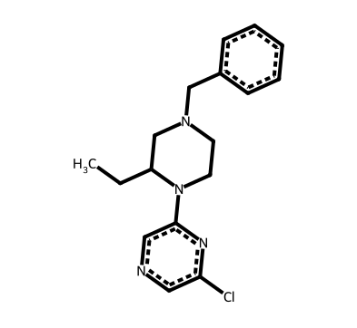 CCC1CN(Cc2ccccc2)CCN1c1cncc(Cl)n1